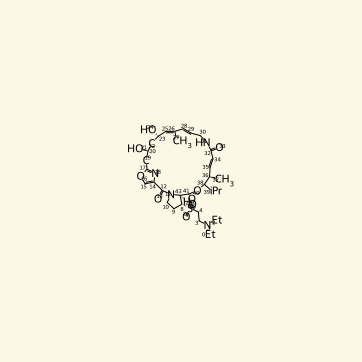 CCN(CC)CCS(=O)(=O)[C@@H]1CCN2C(=O)c3coc(n3)C[C@@H](O)C[C@H](O)/C=C(C)/C=C/CNC(=O)/C=C/[C@@H](C)C(C(C)C)OC(=O)[C@@H]12